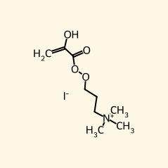 C=C(O)C(=O)OOCCC[N+](C)(C)C.[I-]